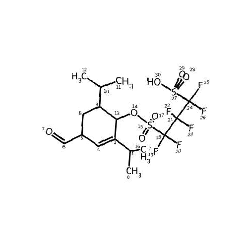 CC(C)C1=CC(C=O)CC(C(C)C)C1OS(=O)(=O)C(F)(F)C(F)(F)C(F)(F)S(=O)(=O)O